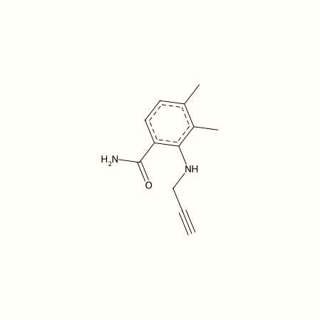 C#CCNc1c(C(N)=O)ccc(C)c1C